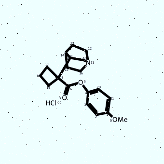 COc1ccc(OC(=O)C2(C3CN4CCC3CC4)CCC2)cc1.Cl